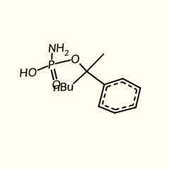 CCCCC(C)(OP(N)(=O)O)c1ccccc1